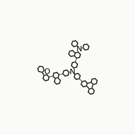 c1ccc(N(c2ccccc2)c2ccc(-c3ccc(N(c4ccc(-c5ccc6c7ccccc7c7ccccc7c6c5)cc4)c4ccc(-c5ccc(-c6cccc7c6oc6ccccc67)c6ccccc56)cc4)cc3)c3ccccc23)cc1